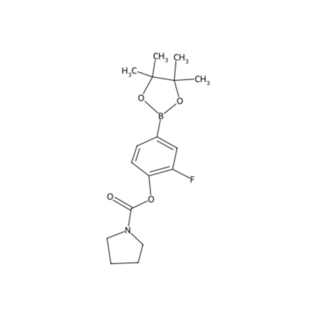 CC1(C)OB(c2ccc(OC(=O)N3CCCC3)c(F)c2)OC1(C)C